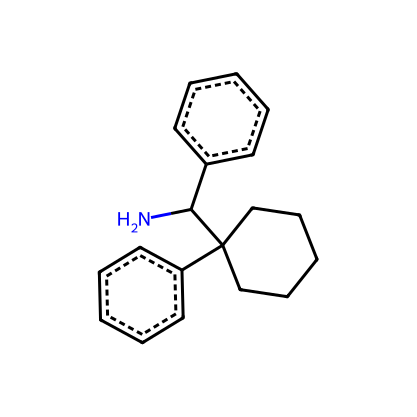 NC(c1ccccc1)C1(c2ccccc2)CCCCC1